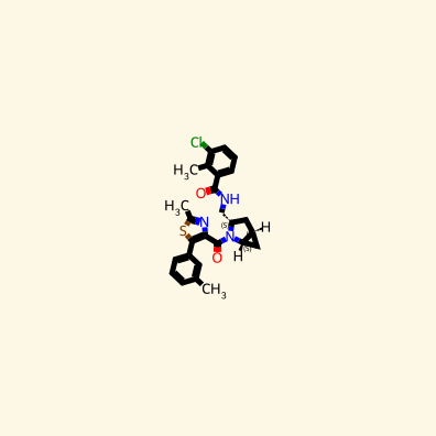 Cc1cccc(-c2sc(C)nc2C(=O)N2[C@H](CNC(=O)c3cccc(Cl)c3C)C[C@H]3C[C@@H]32)c1